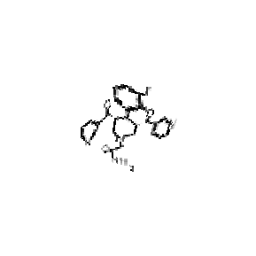 Cc1c(F)cccc1C1[C@@H](C(=O)c2cccnc2)CN(CC(N)=O)C[C@H]1C(=O)c1cccnc1